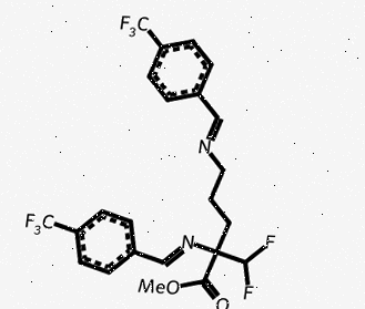 COC(=O)C(CCC/N=C/c1ccc(C(F)(F)F)cc1)(/N=C/c1ccc(C(F)(F)F)cc1)C(F)F